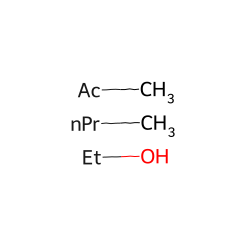 CC(C)=O.CCCC.CCO